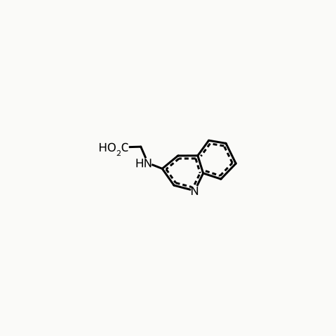 O=C(O)CNc1cnc2ccccc2c1